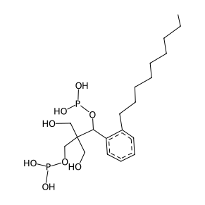 CCCCCCCCCc1ccccc1C(OP(O)O)C(CO)(CO)COP(O)O